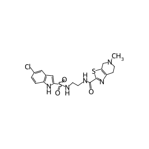 CN1CCc2nc(C(=O)NCCNS(=O)(=O)c3cc4cc(Cl)ccc4[nH]3)sc2C1